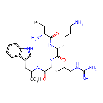 CC(C)C[C@@H](N)C(=O)N[C@H](CCCCN)C(=O)N[C@H](CCCNC(=N)N)C(=O)N[C@H](Cc1c[nH]c2ccccc12)C(=O)O